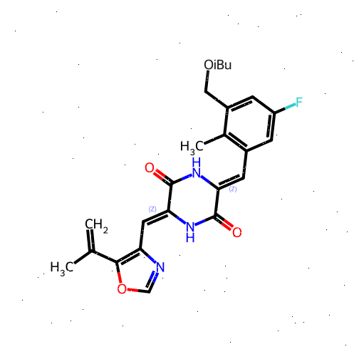 C=C(C)c1ocnc1/C=c1\[nH]c(=O)/c(=C/c2cc(F)cc(COCC(C)C)c2C)[nH]c1=O